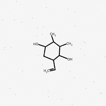 C=CC1CC(O)C(C)C(C)C1O